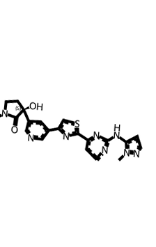 CN1CC[C@](O)(c2cncc(-c3csc(-c4ccnc(Nc5ccnn5C)n4)n3)c2)C1=O